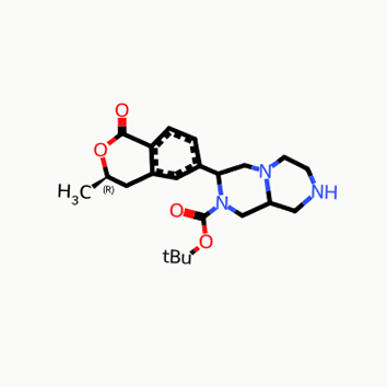 C[C@@H]1Cc2cc(C3CN4CCNCC4CN3C(=O)OC(C)(C)C)ccc2C(=O)O1